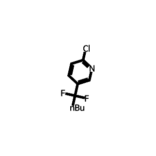 CCCCC(F)(F)c1ccc(Cl)nc1